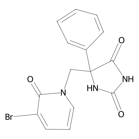 O=C1NC(=O)C(Cn2cccc(Br)c2=O)(c2ccccc2)N1